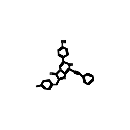 Cc1ccc(Cc2nc3c(C#Cc4ccccc4)[nH]c(-c4ccc(O)cc4)cn-3c2=O)cc1